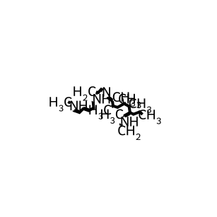 C=CN/C(C)=C(\CCC)[C@@H](C)[C@H](C)CC(C)/C(C)=C/N=C\C(=C)NCC/C=C/C=C\NC